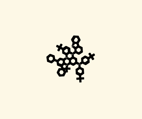 CC(C)(C)C1=CCC(N(C2C=CC(C(C)(C)C)CC2)C2CC3C4B(C5CC(C(C)(C)C)=CC=C5N3C3CCCC5C6CCC=CC6SC53)C3CC(C5CCCCC5)C=C5C3N(C4C2)C(C)(C)C52CCCCC2)CC1